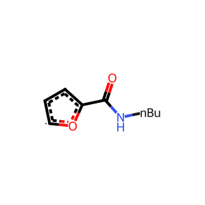 CCCCNC(=O)c1cc[c]o1